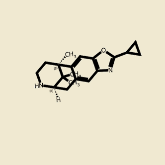 CC1(C)[C@H]2Cc3cc4nc(C5CC5)oc4cc3[C@]1(C)CCN2